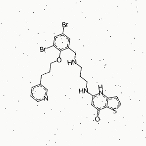 O=c1cc(NCCCNCc2cc(Br)cc(Br)c2OCCCc2cccnc2)[nH]c2ccsc12